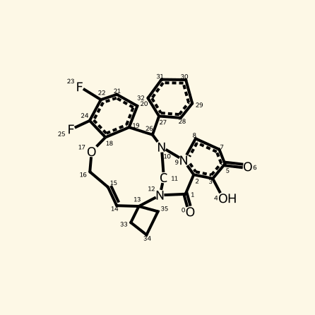 O=C1c2c(O)c(=O)ccn2N2CN1C1(/C=C/COc3c(ccc(F)c3F)C2c2ccccc2)CCC1